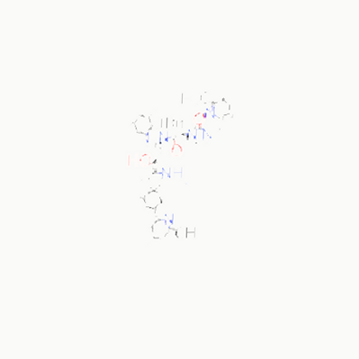 Cc1cccc(CN2CCN([C@H](C(=O)N[C@@H](Cc3ccccc3)C[C@H](O)[C@@H](N)Cc3ccc(-c4cccc(C)n4)cc3)C(C)(C)C)C2=O)n1